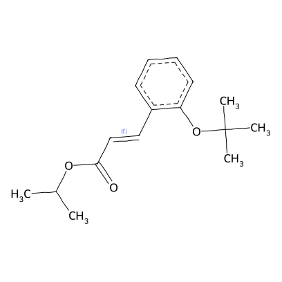 CC(C)OC(=O)/C=C/c1ccccc1OC(C)(C)C